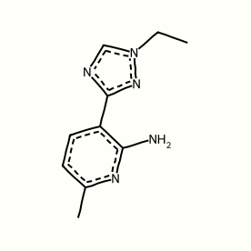 CCn1cnc(-c2ccc(C)nc2N)n1